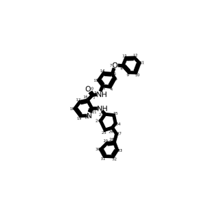 O=C(Nc1ccc(Oc2ccccc2)cc1)c1cccnc1NC1CCC(Cc2ccccc2)CC1